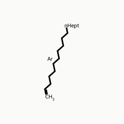 C=CCCCCCCCCCCCCCCCC.[Ar]